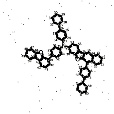 c1ccc(-c2ccc(-c3c4ccccc4cc4c3oc3cc(N(c5ccc(-c6ccccc6)cc5)c5ccc(-c6cccc7c6oc6ccccc67)cc5)ccc34)cc2)cc1